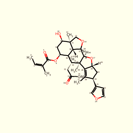 C/C=C(/C)C(=O)O[C@H]1C[C@@H](O)[C@@]2(C)CO[C@H]3[C@H]4O[C@@H]5C[C@@H](c6ccoc6)C(C)=C5[C@@]4(C)[C@H](CC(=O)OC)[C@]1(C)[C@@H]32